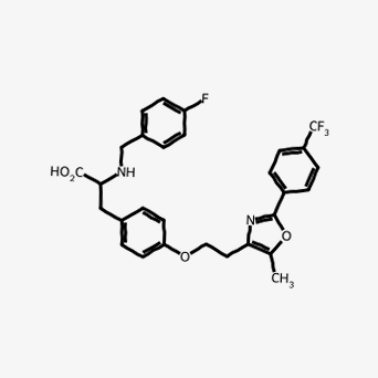 Cc1oc(-c2ccc(C(F)(F)F)cc2)nc1CCOc1ccc(CC(NCc2ccc(F)cc2)C(=O)O)cc1